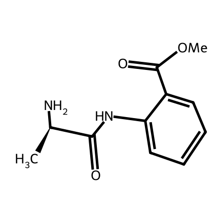 COC(=O)c1ccccc1NC(=O)[C@@H](C)N